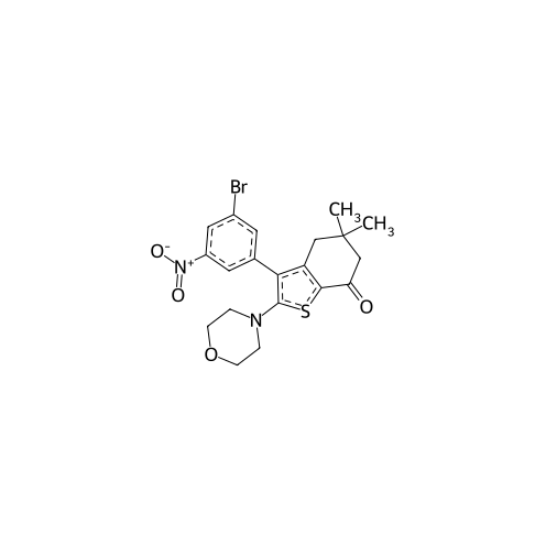 CC1(C)CC(=O)c2sc(N3CCOCC3)c(-c3cc(Br)cc([N+](=O)[O-])c3)c2C1